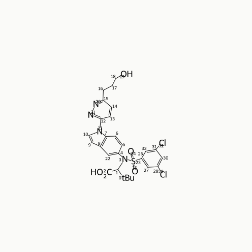 CC(C)(C)C(C(=O)O)N(c1ccc2c(ccn2-c2ccc(CCCO)nn2)c1)S(=O)(=O)c1cc(Cl)cc(Cl)c1